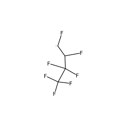 F[CH]C(F)C(F)(F)C(F)(F)F